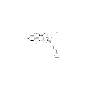 CCOC(=O)O[C@]1(C(=O)COC(=O)CCC2CCCC2)CC[C@H]2[C@@H]3CCC4=CC(=O)C=C[C@]4(C)[C@H]3C(=O)C[C@@]21C